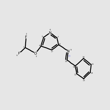 FC(F)Oc1cncc(/N=C/c2ccccc2)c1